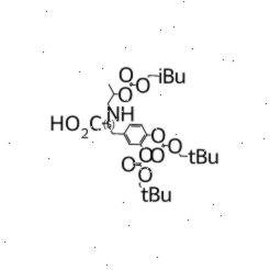 CCC(C)COC(=O)OC(C)CN[C@@H](Cc1ccc(OC(=O)OCC(C)(C)C)c(OC(=O)OCC(C)(C)C)c1)C(=O)O